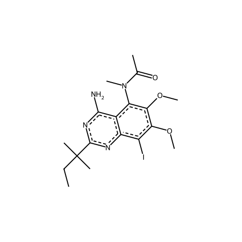 CCC(C)(C)c1nc(N)c2c(N(C)C(C)=O)c(OC)c(OC)c(I)c2n1